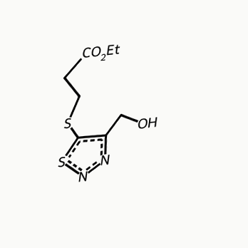 CCOC(=O)CCSc1snnc1CO